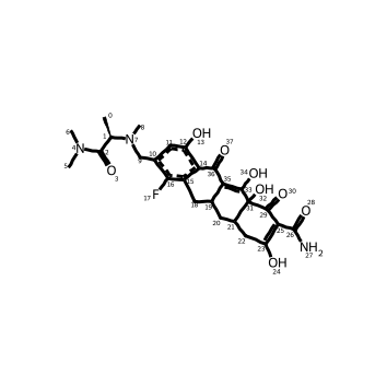 C[C@H](C(=O)N(C)C)N(C)Cc1cc(O)c2c(c1F)CC1CC3CC(O)=C(C(N)=O)C(=O)C3(O)C(O)=C1C2=O